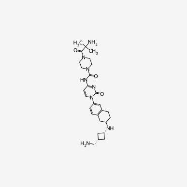 CC(C)(N)C(=O)N1CCN(C(=O)Nc2ccn(-c3ccc4c(c3)CCC(N[C@H]3C[C@@H](CN)C3)C4)c(=O)n2)CC1